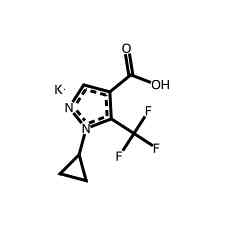 O=C(O)c1cnn(C2CC2)c1C(F)(F)F.[K]